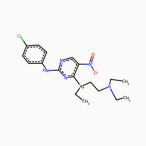 CCN(CC)CC[As](CC)c1nc(Nc2ccc(Cl)cc2)ncc1[N+](=O)[O-]